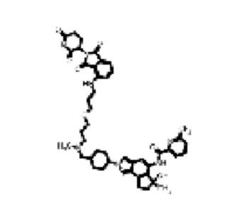 CN(CCCOCCCNc1cccc2c1C(=O)N(C1CCC(=O)NC1=O)C2=O)CC1CCC(n2cc3cc(NC(=O)c4cccc(C(F)(F)F)n4)c4c(c3n2)CCC4(C)O)CC1